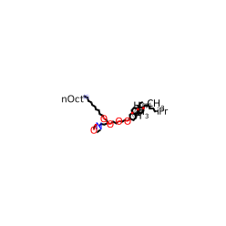 CCCCCCCC/C=C\CCCCCCCCOCC(CCN1CCOCC1)OCCOCCOC1CC[C@@]2(C)C(=CC[C@H]3[C@@H]4CC[C@H]([C@H](C)CCCC(C)C)C4CC[C@@H]32)C1